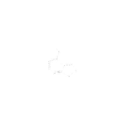 [CH2]Cc1cccc2c1CCC2